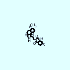 COc1cccc2c1CC[C@@H]1CNC(CCn3c(=O)[nH]c4cc(Cl)ccc4c3=O)[C@@H]21